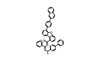 CC(/N=C(\N=C(/N)c1cccc2oc3c(-c4ccc(-c5ccc6ccccc6c5)cc4)cccc3c12)c1ccccc1)c1ccc(-c2ccccc2)cc1